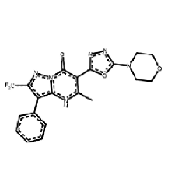 Cc1[nH]c2c(-c3ccccc3)c(C(F)(F)F)nn2c(=O)c1-c1nnc(N2CCOCC2)o1